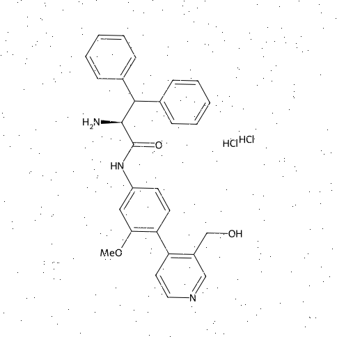 COc1cc(NC(=O)[C@@H](N)C(c2ccccc2)c2ccccc2)ccc1-c1ccncc1CO.Cl.Cl